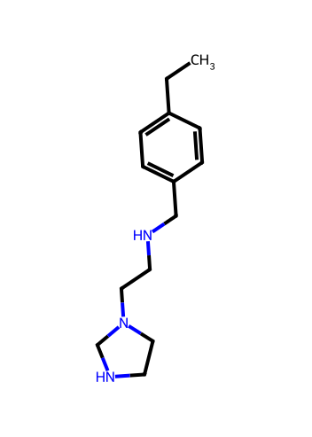 CCc1ccc(CNCCN2CCNC2)cc1